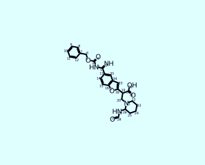 N=C(NC(=O)OCc1ccccc1)c1ccc2oc(C(CN3CCCCC3NC=O)C(=O)O)cc2c1